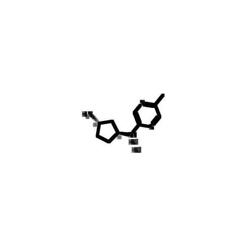 Cc1cnc(N[C@H]2CC[C@H](N)C2)cn1.Cl.Cl